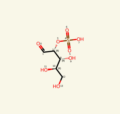 O=C[C@H](OS(=O)(=O)O)[C@H](O)[C@H](O)CO